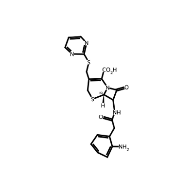 Nc1ccccc1CC(=O)NC1C(=O)N2C(C(=O)O)=C(CSc3ncccn3)CS[C@@H]12